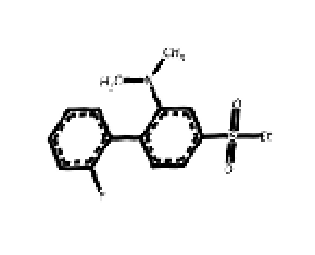 CCS(=O)(=O)c1ccc(-c2ccccc2F)c(N(C)C)c1